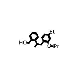 CCc1ccc(CC(C)c2ccccc2CO)c(OC(C)C)c1